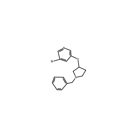 Brc1cncc(OC2CCN(Cc3ccccc3)C2)c1